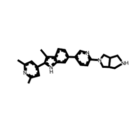 Cc1cc(-c2[nH]c3cc(-c4ccc(N5CC6CNCC6C5)nc4)ccc3c2C)cc(C)n1